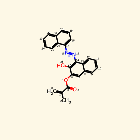 C=C(C)C(=O)Oc1cc2ccccc2c(/N=N/c2cccc3ccccc23)c1O